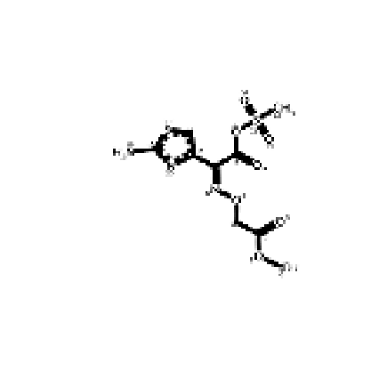 CC(C)(C)OC(=O)CO/N=C(\C(=O)OS(C)(=O)=O)c1csc(N)n1